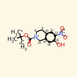 CC(C)(C)OC(=O)N1CCc2cc([N+](=O)[O-])c(O)cc2C1